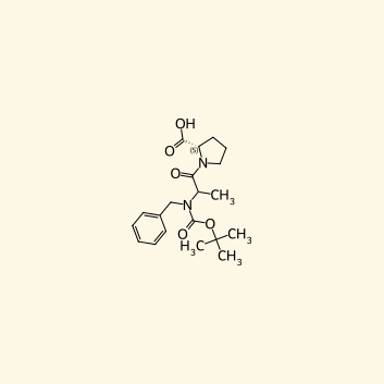 CC(C(=O)N1CCC[C@H]1C(=O)O)N(Cc1ccccc1)C(=O)OC(C)(C)C